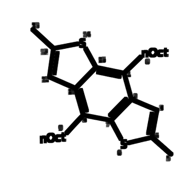 CCCCCCCCc1c2cc(C)sc2c(CCCCCCCC)c2cc(C)sc12